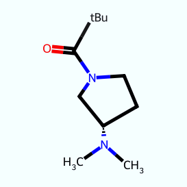 CN(C)[C@H]1CCN(C(=O)C(C)(C)C)C1